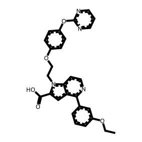 CCOc1cccc(-c2nccc3c2cc(C(=O)O)n3CCOc2ccc(Oc3ncccn3)cc2)c1